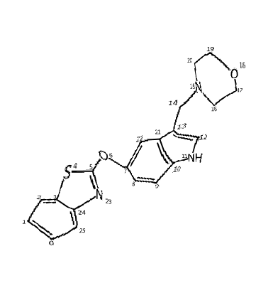 c1ccc2sc(Oc3ccc4[nH]cc(CN5CCOCC5)c4c3)nc2c1